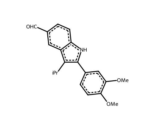 COc1ccc(-c2[nH]c3ccc(C=O)cc3c2C(C)C)cc1OC